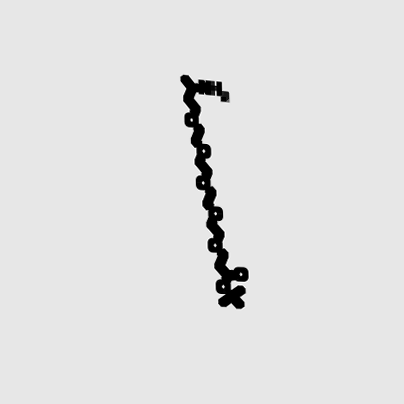 CC(N)CCOCCOCCOCCOCCOCCC(=O)OC(C)(C)C